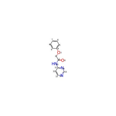 O=C(COc1ccccc1)Nc1ccncn1